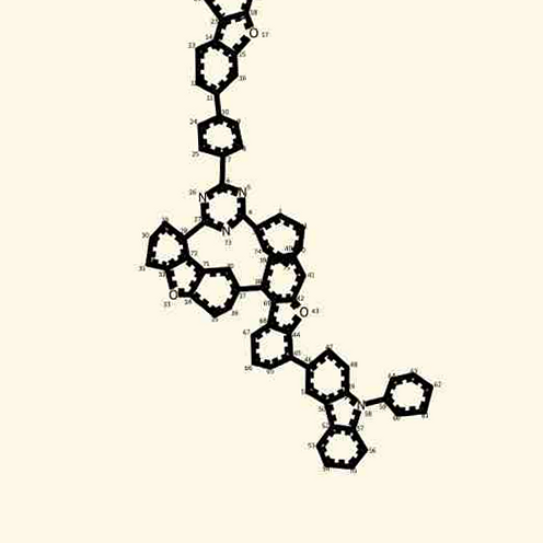 c1ccc(-c2nc(-c3ccc(-c4ccc5c(c4)oc4ccccc45)cc3)nc(-c3cccc4oc5ccc(-c6cccc7oc8c(-c9ccc%10c(c9)c9ccccc9n%10-c9ccccc9)cccc8c67)cc5c34)n2)cc1